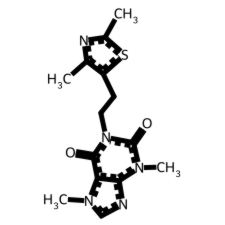 Cc1nc(C)c(CCn2c(=O)c3c(ncn3C)n(C)c2=O)s1